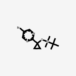 CC(C)(C)[Si](C)(C)OC1(c2ncc(Br)cn2)CC1